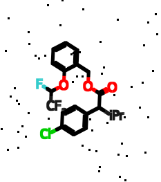 CC(C)C(C(=O)OCc1ccccc1OC(F)C(F)(F)F)c1ccc(Cl)cc1